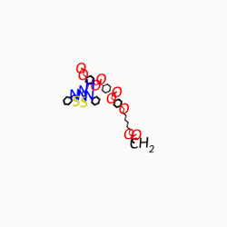 C=CC(=O)OCCCCCCOc1ccc(OC(=O)[C@H]2CC[C@H](C(=O)Oc3ccc(OC=O)cc3/C=N/N(C(=S)Nc3ccccc3)c3nc4ccccc4s3)CC2)cc1